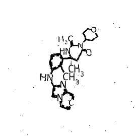 C=C1N[C@](C)(c2cccc(Nc3cn4ccccc4n3)c2C)CC(=O)N1C1CCOCC1